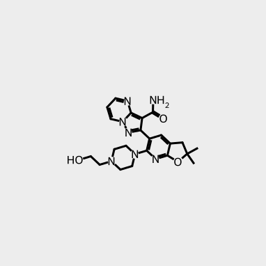 CC1(C)Cc2cc(-c3nn4cccnc4c3C(N)=O)c(N3CCN(CCO)CC3)nc2O1